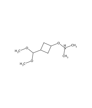 COC(OC)C1CC(O[SiH](C)C)C1